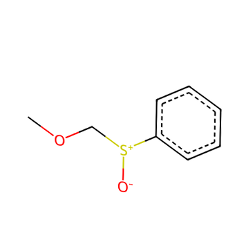 COC[S+]([O-])c1ccccc1